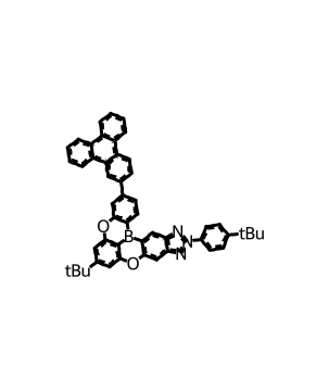 CC(C)(C)c1ccc(-n2nc3cc4c(cc3n2)B2c3ccc(-c5ccc6c7ccccc7c7ccccc7c6c5)cc3Oc3cc(C(C)(C)C)cc(c32)O4)cc1